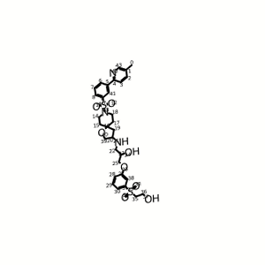 Cc1ccc(-c2cccc(S(=O)(=O)N3CCC4(CC3)CC(NCC(O)COc3cccc(S(=O)(=O)CCO)c3)CO4)c2)nc1